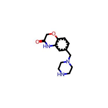 O=C1COc2ccc(CN3CCNCC3)cc2N1